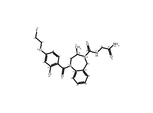 C[C@@H]1CN(C(=O)c2ccc(OCCF)cc2Cl)c2ccccc2CN1C(=O)NCC(N)=O